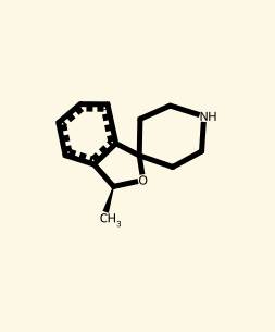 C[C@@H]1OC2(CCNCC2)c2ccccc21